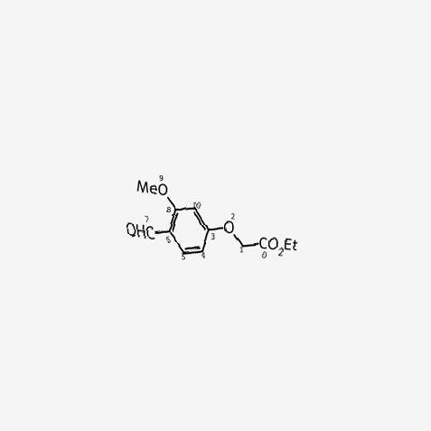 CCOC(=O)COc1ccc(C=O)c(OC)c1